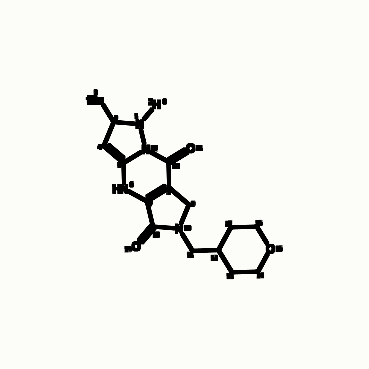 [2H]N1C(C(C)(C)C)C=C2NC3=C(CN(CC4CCOCC4)C3=O)C(=O)N21